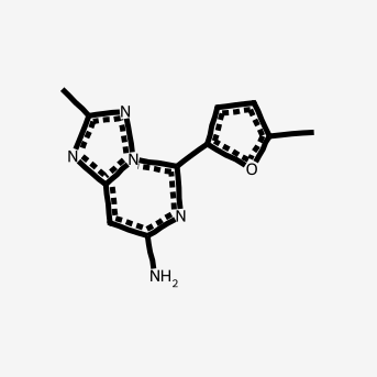 Cc1nc2cc(N)nc(-c3ccc(C)o3)n2n1